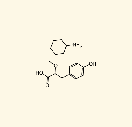 COC(Cc1ccc(O)cc1)C(=O)O.NC1CCCCC1